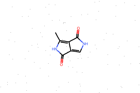 CC1=C2C(=O)NC=C2C(=O)N1